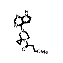 COCCC(=O)N1CCN(c2ncnc3[nH]ccc23)CC12CC2